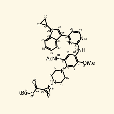 COc1cc(N2CCN(N3N=C3C(=O)OC(C)(C)C)CC2)c(NC(C)=O)cc1Nc1nccc(-c2cn(C3CC3)c3ccccc23)n1